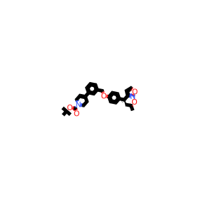 CC(=O)C[C@@H](c1ccc(OCc2cccc(C3=CCN(C(=O)OC(C)(C)C)CC3)c2)cc1)c1ccon1